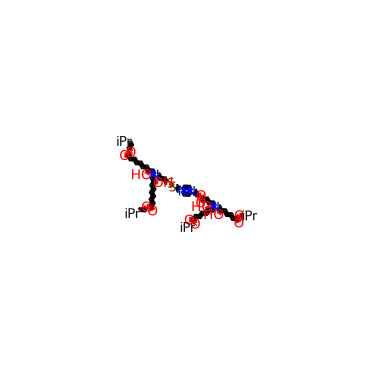 CC(C)CCOC(=O)CCCCCCC(O)CN(CCCCSSCCN1CCN(CCOC(=O)CCCN(CC(O)CCCCC(=O)OC(C)C)CC(O)CCCCC(=O)OC(C)C)CC1)CC(O)CCCCCCC(=O)OCCC(C)C